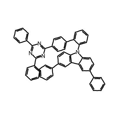 c1ccc(-c2ccc3c(c2)c2cc(-c4ccccc4)ccc2n3-c2ccccc2-c2ccc(-c3nc(-c4ccccc4)nc(-c4ccccc4)n3)cc2)cc1